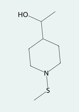 CSN1CCC(C(C)O)CC1